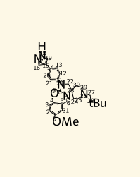 COc1cccc(CN2C(=O)N(c3ccc(-c4cn[nH]c4)cc3)CC23CCN(CC(C)(C)C)CC3)c1